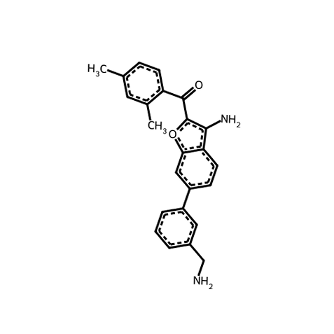 Cc1ccc(C(=O)c2oc3cc(-c4cccc(CN)c4)ccc3c2N)c(C)c1